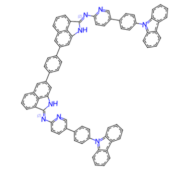 c1cc2c3c(cc(-c4ccc(-c5cc6c7c(cccc7c5)/C(=N/c5ccc(-c7ccc(-n8c9ccccc9c9ccccc98)cc7)cn5)N6)cc4)cc3c1)N/C2=N\c1ccc(-c2ccc(-n3c4ccccc4c4ccccc43)cc2)cn1